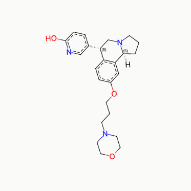 Oc1ccc([C@@H]2CN3CCC[C@H]3c3cc(OCCCN4CCOCC4)ccc32)cn1